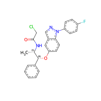 C[C@H](NC(=O)CCl)[C@H](Oc1ccc2c(cnn2-c2ccc(F)cc2)c1)c1ccccc1